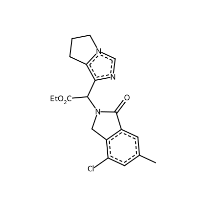 CCOC(=O)C(c1ncn2c1CCC2)N1Cc2c(Cl)cc(C)cc2C1=O